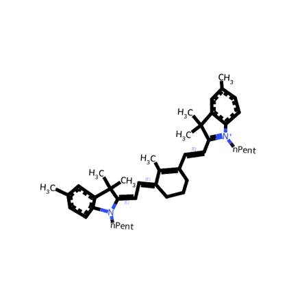 CCCCCN1/C(=C/C=C2\CCCC(/C=C/C3=[N+](CCCCC)c4ccc(C)cc4C3(C)C)=C2C)C(C)(C)c2cc(C)ccc21